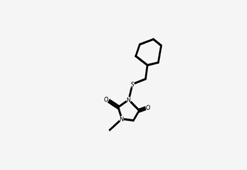 CN1CC(=O)N(SCC2CCCCC2)C1=O